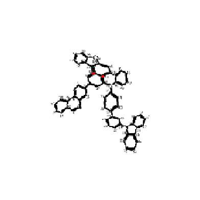 c1cc(-c2ccc3c(ccc4ccccc43)c2)cc(N(c2ccc(-c3cccc(-n4c5ccccc5c5ccccc54)c3)cc2)c2ccccc2-c2ccc3c(c2)oc2ccccc23)c1